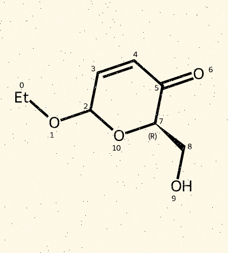 CCOC1C=CC(=O)[C@@H](CO)O1